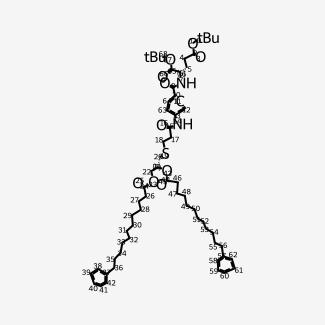 CC(C)(C)OC(=O)CC[C@H](NC(=O)c1ccc(NC(=O)CCSC[C@@H](COC(=O)CCCCCCCCCCCc2ccccc2)OC(=O)CCCCCCCCCCCc2ccccc2)cc1)C(=O)OC(C)(C)C